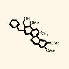 COc1cc2ccc3c4cc(Cc5ccccc5)c(CO)c(OC)c4c[n+](C)c3c2cc1OC